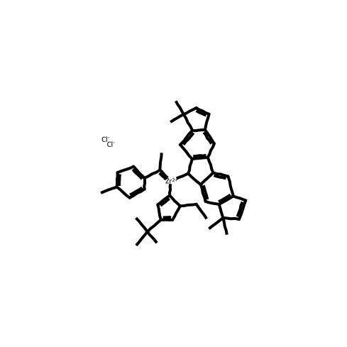 CCC1C=C(C(C)(C)C)C=[C]1/[Zr+2](=[C](/C)c1ccc(C)cc1)[CH]1c2cc3c(cc2-c2cc4c(cc21)C(C)(C)C=C4)C=CC3(C)C.[Cl-].[Cl-]